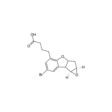 O=C(O)CCCc1cc(Br)cc2c1OC1C[C@H]3O[C@H]3C21